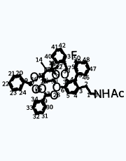 CC(=O)NCCc1ccc(O[C@@H]2OC(C)(C)[C@H](C)[C@@H](OC(=O)c3ccccc3)[C@H]2OC(=O)c2ccccc2)c(OCc2ccccc2)c1-c1cccc(F)c1